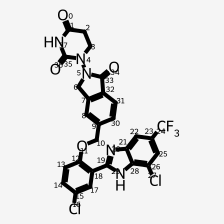 O=C1CCN(N2Cc3cc(COc4ccc(Cl)cc4-c4nc5cc(C(F)(F)F)cc(Cl)c5[nH]4)ccc3C2=O)C(=O)N1